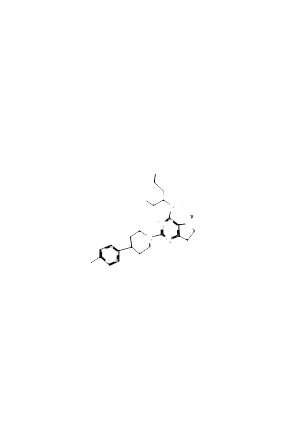 CCC[C@H](CO)Nc1nc(N2CCC(c3ccc(C)cc3)CC2)nc2c1[S+]([O-])CC2